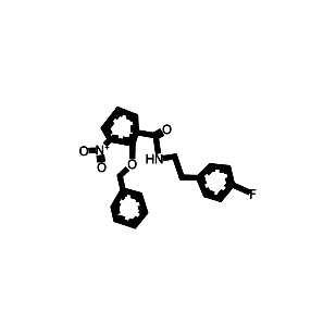 O=C(NCCc1ccc(F)cc1)c1cccc([N+](=O)[O-])c1OCc1ccccc1